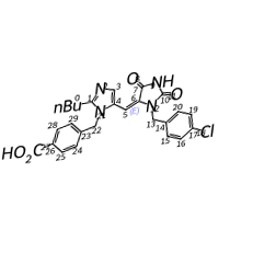 CCCCc1ncc(/C=C2\C(=O)NC(=O)N2Cc2ccc(Cl)cc2)n1Cc1ccc(C(=O)O)cc1